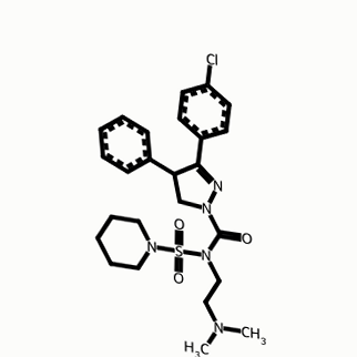 CN(C)CCN(C(=O)N1CC(c2ccccc2)C(c2ccc(Cl)cc2)=N1)S(=O)(=O)N1CCCCC1